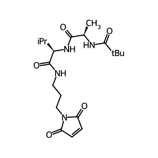 CC(C)[C@@H](NC(=O)[C@@H](C)NC(=O)C(C)(C)C)C(=O)NCCCN1C(=O)C=CC1=O